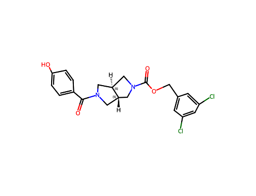 O=C(OCc1cc(Cl)cc(Cl)c1)N1C[C@@H]2CN(C(=O)c3ccc(O)cc3)C[C@H]2C1